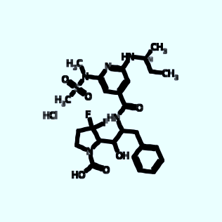 CC[C@H](C)Nc1cc(C(=O)NC(Cc2ccccc2)C(O)C2N(C(=O)O)CCC2(F)F)cc(N(C)S(C)(=O)=O)n1.Cl